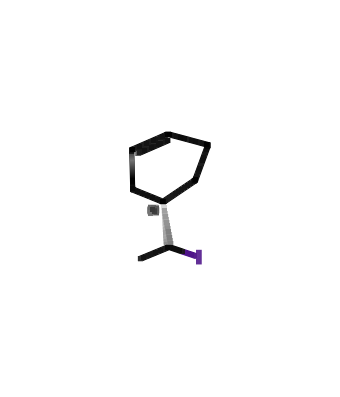 CC(I)[C@@H]1CC=CCC1